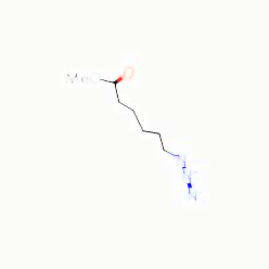 COC(=O)CCCCCN=[N+]=[N-]